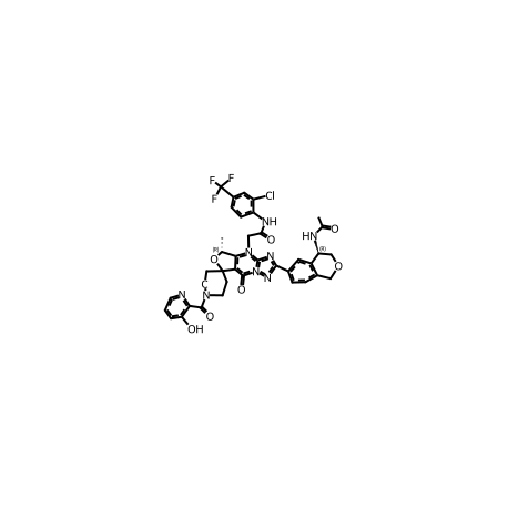 CC(=O)N[C@H]1COCc2ccc(-c3nc4n(CC(=O)Nc5ccc(C(F)(F)F)cc5Cl)c5c(c(=O)n4n3)C3(CCN(C(=O)c4ncccc4O)CC3)O[C@@H]5C)cc21